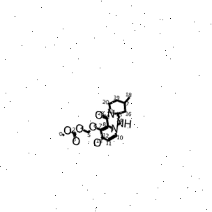 COC(=O)OCOc1c2n(ccc1=O)NC1CC(C)CCN1C2=O